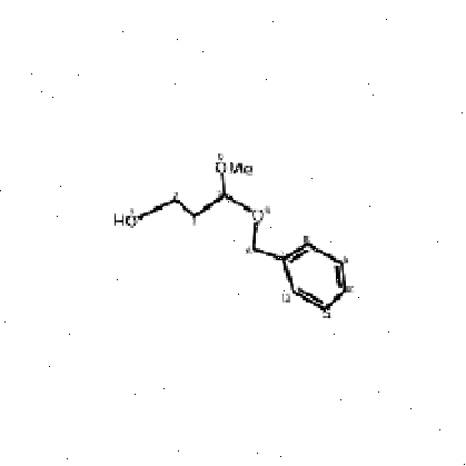 COC(CCO)OCc1ccccc1